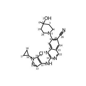 CC1(O)CCN(c2cc3nc(Nc4cnn(C5CC5)c4Cl)ncc3cc2C#N)CC1